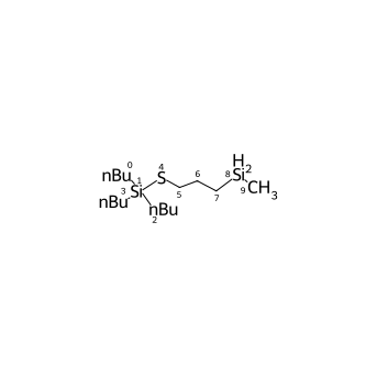 CCCC[Si](CCCC)(CCCC)SCCC[SiH2]C